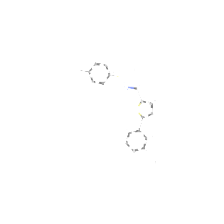 Cc1ccc([S+]([O-])/N=C/c2ccc(-c3cccc(F)c3)s2)cc1